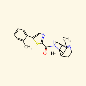 Cc1ccccc1-c1cnc(C(=O)N[C@@H]2C3CCN(CC3)[C@H]2C)s1